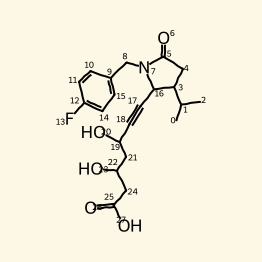 CC(C)C1CC(=O)N(Cc2ccc(F)cc2)C1C#CC(O)CC(O)CC(=O)O